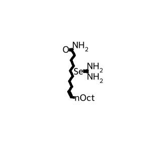 CCCCCCCC/C=C\CCCCCCCC(N)=O.NC(N)=[Se]